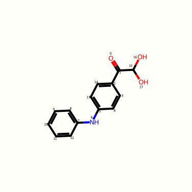 O=C(c1ccc(Nc2ccccc2)cc1)C(O)O